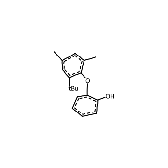 Cc1cc(C)c(Oc2ccccc2O)c(C(C)(C)C)c1